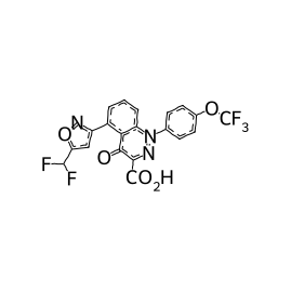 O=C(O)c1nn(-c2ccc(OC(F)(F)F)cc2)c2cccc(-c3cc(C(F)F)on3)c2c1=O